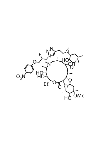 CC[C@H]1OC(=O)[C@H](C)[C@@H](O[C@H]2C[C@@](C)(OC)[C@@H](O)[C@H](C)O2)[C@H](C)[C@@H](O[C@@H]2O[C@H](C)C[C@H](N(C)CCc3cn(C[C@H](F)COc4ccc([N+](=O)[O-])cc4)nn3)[C@H]2O)[C@](C)(O)C[C@@H](C)CN(C)[C@H](C)[C@@H](O)[C@]1(C)O